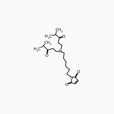 CC(C)C(=O)CCN(CCCCCCN1C(=O)C=CC1=O)CCC(=O)C(C)C